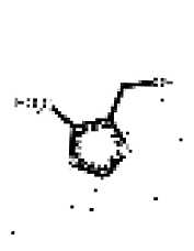 O=C(O)c1scnc1CO